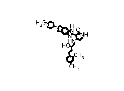 Cc1ccc(CCC(O)CNc2cc[nH]c(=O)c2-c2nc3cc4c(cc3[nH]2)CN(C2CCN(C)CC2)C4)c(C)c1